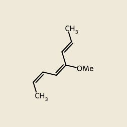 C\C=C/C=C(\C=C\C)OC